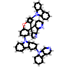 c1cnc2c(c1)C1(c3cc(-n4c5ccccc5c5ccccc54)ccc3Oc3ccc(-n4c5ccccc5c5cc(-n6c7ccccc7c7ccncc76)ccc54)cc31)c1cccnc1-2